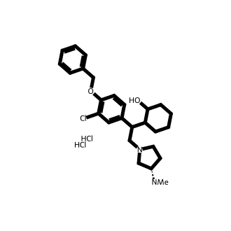 CN[C@H]1CCN(CC(c2ccc(OCc3ccccc3)c(Cl)c2)C2CCCCC2O)C1.Cl.Cl